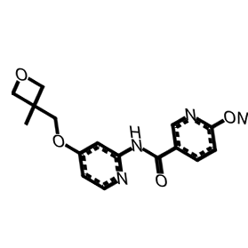 COc1ccc(C(=O)Nc2cc(OCC3(C)COC3)ccn2)cn1